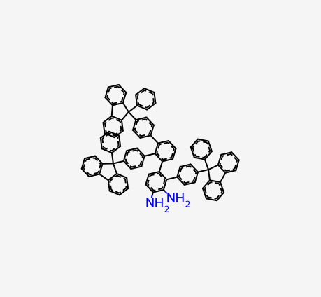 Nc1ccc(-c2cccc(-c3ccc(C4(c5ccccc5)c5ccccc5-c5ccccc54)cc3)c2-c2ccc(C3(c4ccccc4)c4ccccc4-c4ccccc43)cc2)c(-c2ccc(C3(c4ccccc4)c4ccccc4-c4ccccc43)cc2)c1N